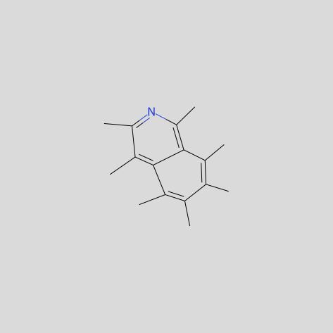 Cc1nc(C)c2c(C)c(C)c(C)c(C)c2c1C